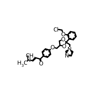 CN(C)C=CC(=O)c1ccc(OCC2COC(Cn3ccnc3)(c3ccccc3OCCl)O2)cc1